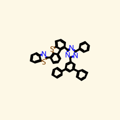 c1ccc(-c2cc(-c3ccccc3)cc(-c3nc(-c4ccccc4)nc(-c4cccc5sc6c(-c7nc8ccccc8s7)cccc6c45)n3)c2)cc1